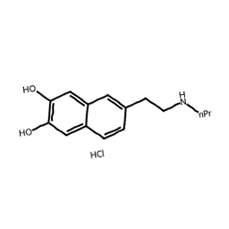 CCCNCCc1ccc2cc(O)c(O)cc2c1.Cl